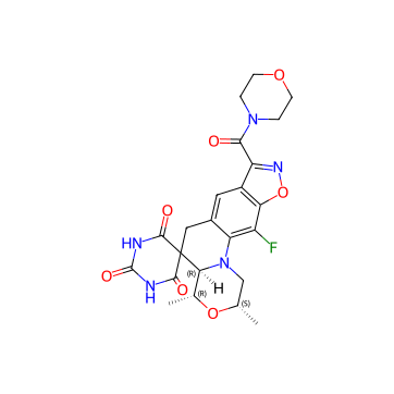 C[C@H]1CN2c3c(cc4c(C(=O)N5CCOCC5)noc4c3F)CC3(C(=O)NC(=O)NC3=O)[C@@H]2[C@@H](C)O1